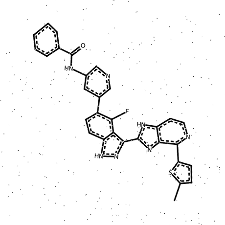 Cc1ccc(-c2nccc3[nH]c(-c4n[nH]c5ccc(-c6cncc(NC(=O)c7ccccc7)c6)c(F)c45)nc23)s1